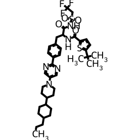 CCCC1CCC(C2CCN(c3cnc(-c4ccc(CC(NC(=O)c5ccc(C(C)(C)C)s5)C(=O)NS(=O)(=O)CC(F)(F)F)cc4)nc3)CC2)CC1